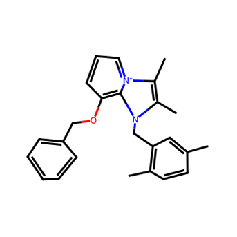 Cc1ccc(C)c(Cn2c(C)c(C)[n+]3cccc(OCc4ccccc4)c23)c1